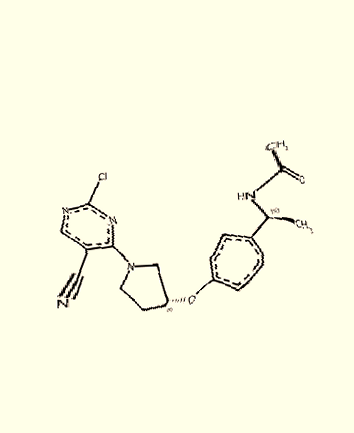 CC(=O)N[C@@H](C)c1ccc(O[C@@H]2CCN(c3nc(Cl)ncc3C#N)C2)cc1